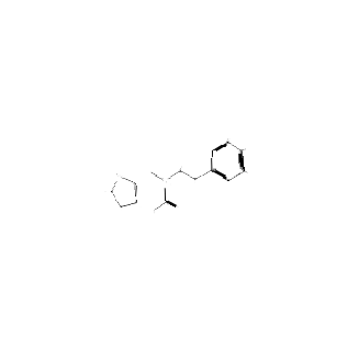 CC(=O)N(CCc1ccccc1)C[C@@H]1CCCN1